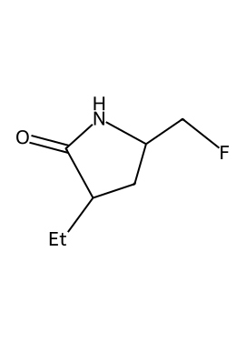 CCC1CC(CF)NC1=O